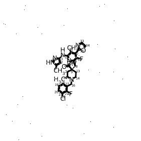 Cc1cc(Nc2nc(C[C@@]3(C(=O)O)CCN(Cc4cccc(Cl)c4F)[C@H](C)C3)c(F)c(-c3ncco3)c2C)n[nH]1